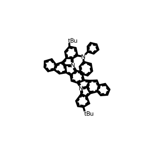 CC(C)(C)c1ccc2c(c1)c1c3ccccc3cc3c4cc5c(cc4n2c31)c1cc2ccccc2c2c3cc(C(C)(C)C)cc(N(c4ccccc4)c4ccccc4)c3n5c12